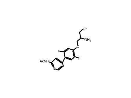 CC(=O)Nc1cc(-c2cc(F)c(OCC(N)CC(C)C)cc2F)ccn1